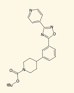 CC(C)(C)OC(=O)N1CCC(c2cccc(-c3nc(-c4ccncc4)no3)c2)CC1